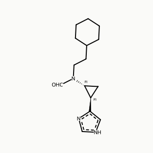 O=CN(CCC1CCCCC1)[C@@H]1C[C@H]1c1c[nH]cn1